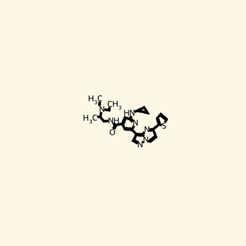 CCN(CC)C(C)CNC(=O)c1cc(NC2CC2)nc(-c2cnn3ccc(-c4cccs4)nc23)c1